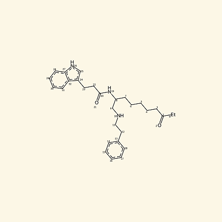 CCC(=O)CCCCCC(CNCCc1ccccc1)NC(=O)CCc1c[nH]c2ccccc12